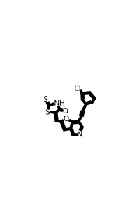 O=C1NC(=S)SC1=Cc1cc2cncc(C#Cc3cccc(Cl)c3)c2o1